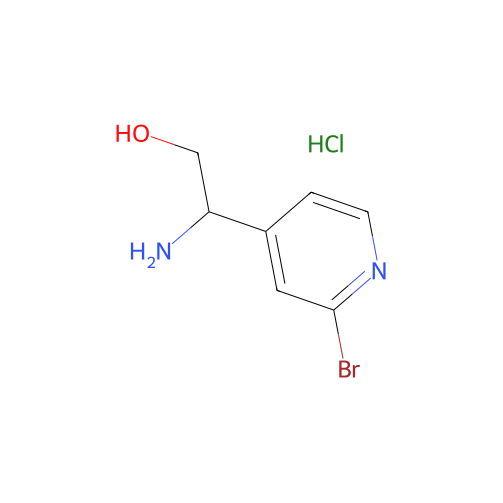 Cl.NC(CO)c1ccnc(Br)c1